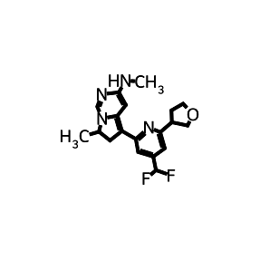 CNC1=CC2=C(c3cc(C(F)F)cc(C4CCOC4)n3)CC(C)N2C=N1